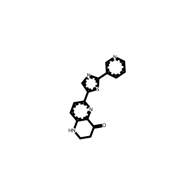 O=C1CCNc2ccc(-c3cnc(-c4cccnc4)s3)nc21